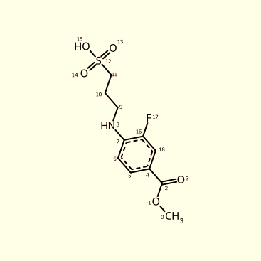 COC(=O)c1ccc(NCCCS(=O)(=O)O)c(F)c1